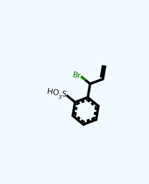 C=CC(Br)c1ccccc1S(=O)(=O)O